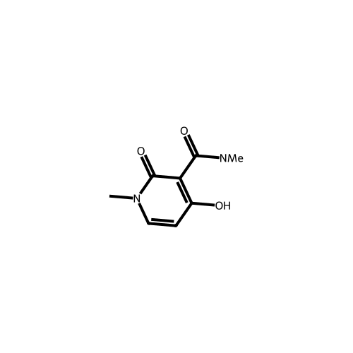 CNC(=O)c1c(O)ccn(C)c1=O